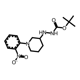 CC(C)(C)OC(=O)NNC1CCCN(c2ccccc2[N+](=O)[O-])C1